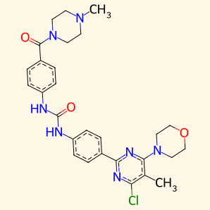 Cc1c(Cl)nc(-c2ccc(NC(=O)Nc3ccc(C(=O)N4CCN(C)CC4)cc3)cc2)nc1N1CCOCC1